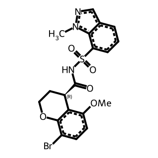 COc1ccc(Br)c2c1[C@H](C(=O)NS(=O)(=O)c1cccc3cnn(C)c13)CCO2